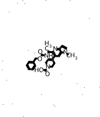 CC(NC(=O)OCc1ccccc1)c1nc2ccn(C)c2cc1C1=CCN(C(=O)O)CC1